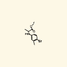 CCOC(=O)C(C)Nc1ccc(Br)c(C)c1